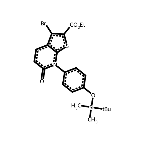 CCOC(=O)c1sc2c(ccc(=O)n2-c2ccc(O[Si](C)(C)C(C)(C)C)cc2)c1Br